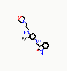 O=C1Nc2ccccc2C1=CNc1ccc(NCCCN2CCOCC2)c(C(F)(F)F)c1